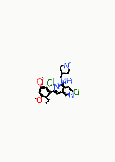 CCc1c(OC)cc(OC)c(Cl)c1-c1cc2cnc(Cl)cc2c(NCC2CCN(C)CC2)n1